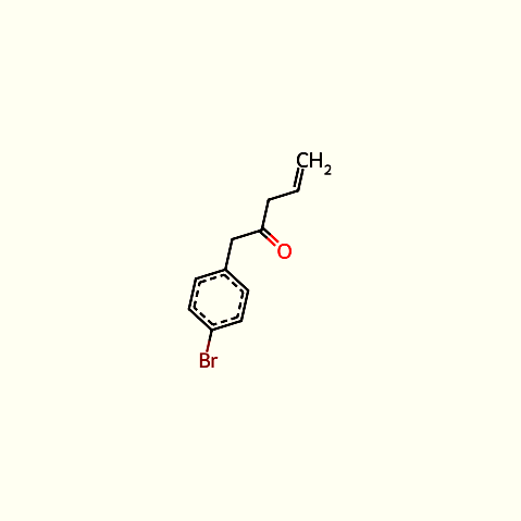 C=CCC(=O)Cc1ccc(Br)cc1